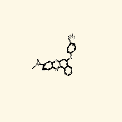 CN(C)c1ccc2nc3c4ccccc4/c(=N/c4ccc(N)cc4)cc-3oc2c1